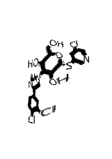 OCC1O[C@H](Sc2cncc(Cl)c2)C(O)C(n2cc(-c3ccc(Cl)c(Cl)c3)nn2)[C@H]1O